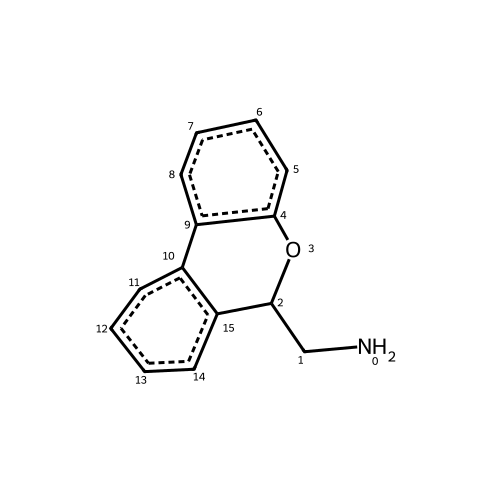 NCC1Oc2ccccc2-c2ccccc21